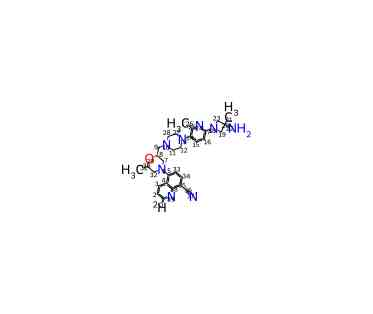 [2H]c1ccc2c(N3C[C@H](CN4CCN(c5ccc(N6CC(C)(N)C6)nc5C)CC4)O[C@H](C)C3)ccc(C#N)c2n1